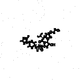 CC(C)[C@@H](C(=O)N1C[C@H](O)C[C@H]1C(=O)N[C@@H](C)c1ccc(-c2ccnn2C)cc1)c1cc(OCC=O)no1